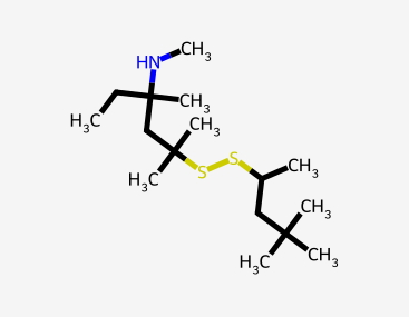 CCC(C)(CC(C)(C)SSC(C)CC(C)(C)C)NC